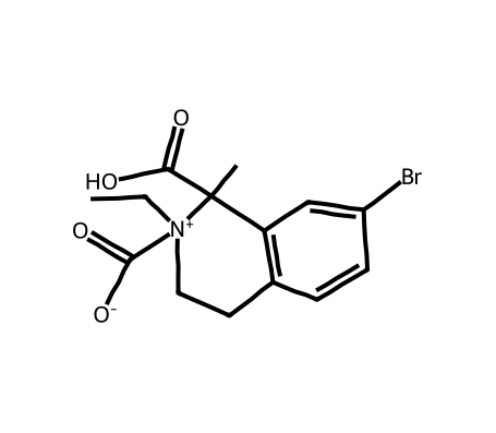 CC[N+]1(C(=O)[O-])CCc2ccc(Br)cc2C1(C)C(=O)O